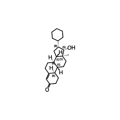 C[C@]12CC[C@H]3[C@@H](CCC4=CC(=O)CC[C@@H]43)[C@@H]1C[C@H](C1CCCCC1)[C@@H]2O